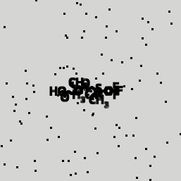 CCc1cc(C(=O)CCc2sc(-c3ccc(C(F)(F)F)cc3)nc2C(C)C)ccc1CCC(=O)O